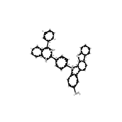 [SiH3]c1ccc2c(c1)c1ccc3c4ccccc4oc3c1n2-c1ccc(-c2nc(-c3ccccc3)c3ccccc3n2)cc1